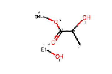 CC(O)C(=O)OC(C)(C)C.CCO